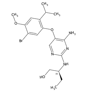 CC[C@@H](CO)Nc1ncc(Oc2cc(Br)c(OC)cc2C(C)C)c(N)n1